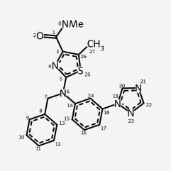 CNC(=O)c1nc(N(Cc2ccccc2)c2cccc(-n3cncn3)c2)sc1C